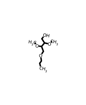 CCCOCC(OC)C(CO)OC